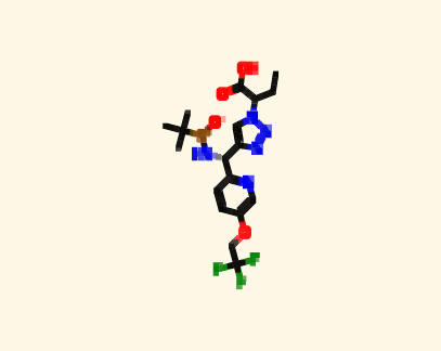 CCC(C(=O)O)n1cc([C@@H](N[S+]([O-])C(C)(C)C)c2ccc(OCC(F)(F)F)cn2)nn1